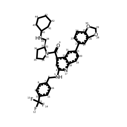 O=C(c1cc(NCc2ccc(C(F)(F)F)cc2)nc2ccc(-c3ccc4c(c3)OCO4)cc12)N1CCC[C@H]1CNC1CCCCC1